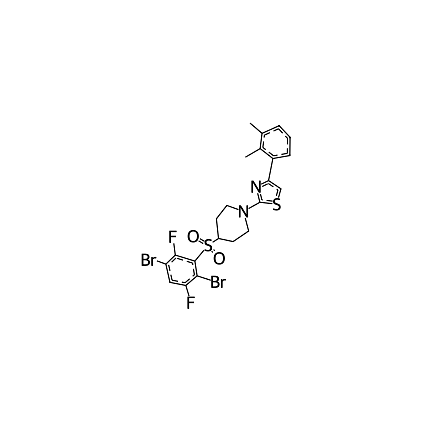 Cc1cccc(-c2csc(N3CCC(S(=O)(=O)c4c(F)c(Br)cc(F)c4Br)CC3)n2)c1C